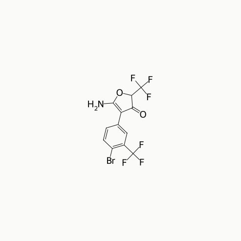 NC1=C(c2ccc(Br)c(C(F)(F)F)c2)C(=O)C(C(F)(F)F)O1